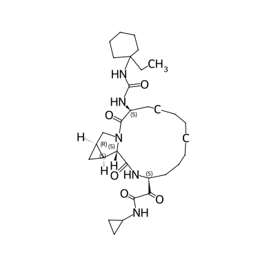 CCC1(NC(=O)N[C@H]2CCCCCCCC[C@@H](C(=O)C(=O)NC3CC3)NC(=O)[C@@H]3[C@H]4C[C@H]4CN3C2=O)CCCCC1